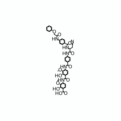 COc1c(NC(=O)c2ccc(NC(=O)c3ccc(NC(=O)C(CC#N)NC(=O)c4ccc(NC(=O)COc5ccccc5)cc4)cc3)c(OC)c2O)ccc(C(=O)O)c1O